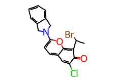 CC(Br)c1c2oc(N3Cc4ccccc4C3)ccc-2cc(Cl)c1=O